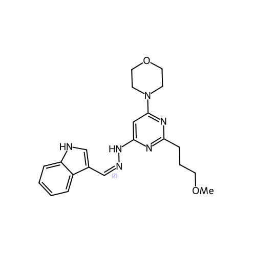 COCCCc1nc(N/N=C\c2c[nH]c3ccccc23)cc(N2CCOCC2)n1